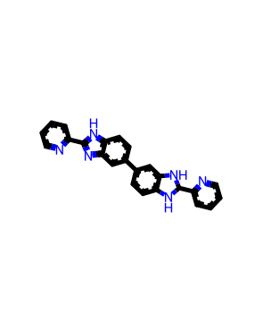 c1ccc(-c2nc3cc(-c4ccc5c(c4)NC(c4ccccn4)N5)ccc3[nH]2)nc1